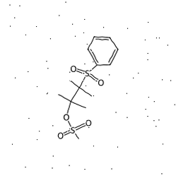 CC(C)(OS(C)(=O)=O)C(C)(C)S(=O)(=O)c1ccccc1